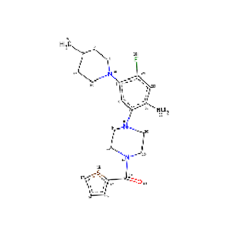 CC1CCN(c2cc(N3CCN(C(=O)c4cccs4)CC3)c([N+](=O)[O-])cc2F)CC1